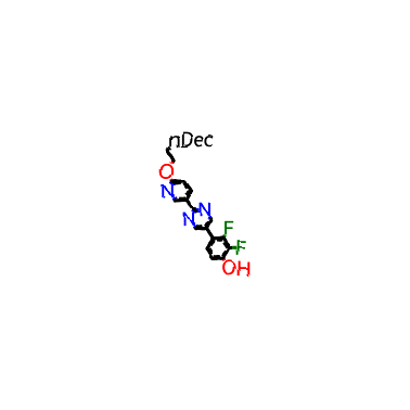 CCCCCCCCCCCCOc1ccc(-c2ncc(-c3ccc(O)c(F)c3F)cn2)cn1